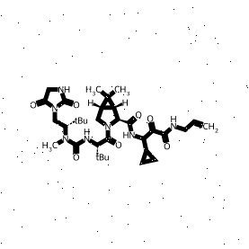 C=CCNC(=O)C(=O)C(NC(=O)[C@@H]1[C@@H]2[C@H](CN1C(=O)[C@@H](NC(=O)N(C)[C@H](CN1C(=O)CNC1=O)C(C)(C)C)C(C)(C)C)C2(C)C)C1CC1